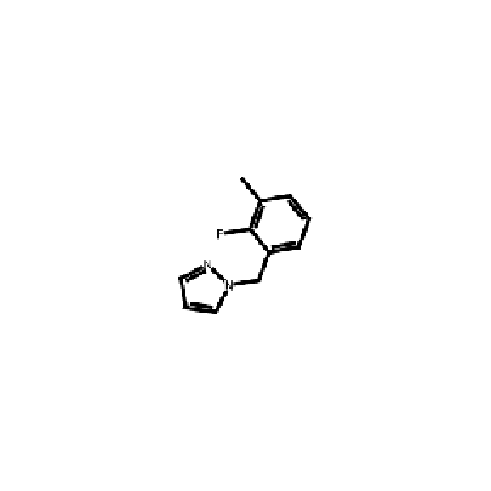 Cc1cccc(Cn2c[c]cn2)c1F